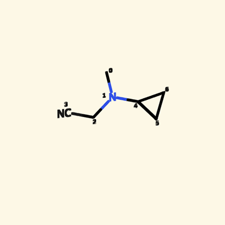 CN(CC#N)C1CC1